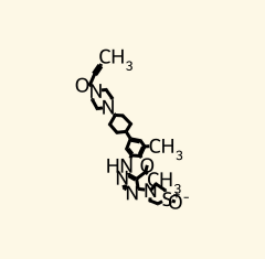 CC#CC(=O)N1CCN(C2CCC(c3cc(C)c4c(c3)Nc3ncnc(N5CC[S+]([O-])CC5)c3C(C)O4)CC2)CC1